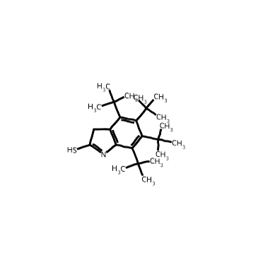 CC(C)(C)c1c2c(c(C(C)(C)C)c(C(C)(C)C)c1C(C)(C)C)N=C(S)C2